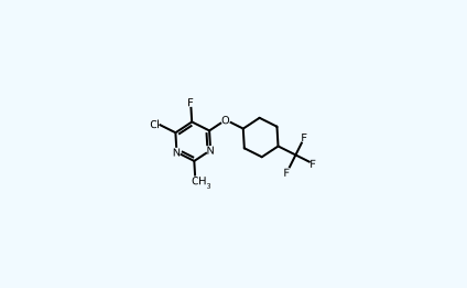 Cc1nc(Cl)c(F)c(OC2CCC(C(F)(F)F)CC2)n1